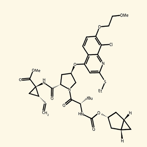 C=C[C@@H]1C[C@]1(NC(=O)[C@@H]1C[C@@H](Oc2cc(SCC)nc3c(Cl)c(OCCOC)ccc23)CN1C(=O)[C@@H](NC(=O)O[C@@H]1C[C@@H]2C[C@@H]2C1)C(C)(C)C)C(=O)OC